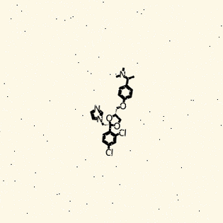 CC(c1ccc(OC[C@@H]2CO[C@@](Cn3ccnc3)(c3ccc(Cl)cc3Cl)O2)cc1)N(C)C